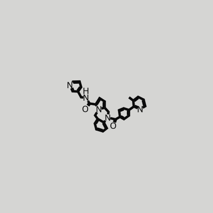 Cc1cccnc1-c1ccc(C(=O)N2Cc3ccc(C(=O)NCc4cccnc4)n3Cc3ccccc32)cc1